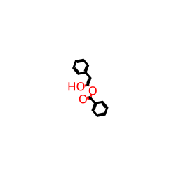 O=C(O/C(O)=C/c1ccccc1)c1ccccc1